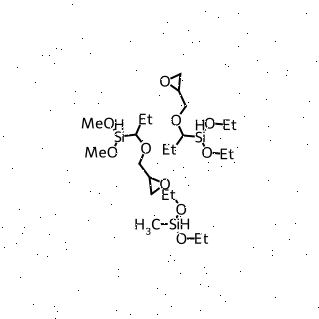 CCC(OCC1CO1)[SiH](OC)OC.CCO[SiH](C)OCC.CCO[SiH](OCC)C(CC)OCC1CO1